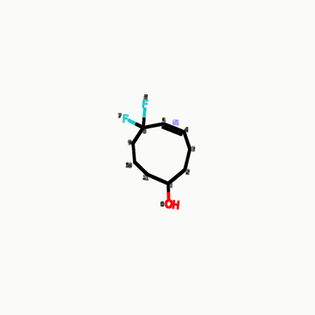 OC1CC/C=C\C(F)(F)CCC1